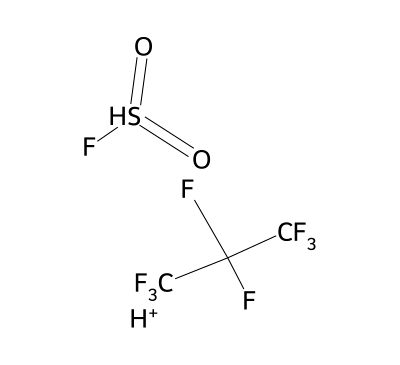 FC(F)(F)C(F)(F)C(F)(F)F.O=[SH](=O)F.[H+]